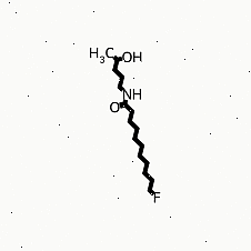 CC(O)CCCNC(=O)CCCCCCCCCCF